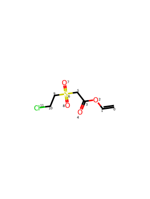 C=COC(=O)CS(=O)(=O)CCCl